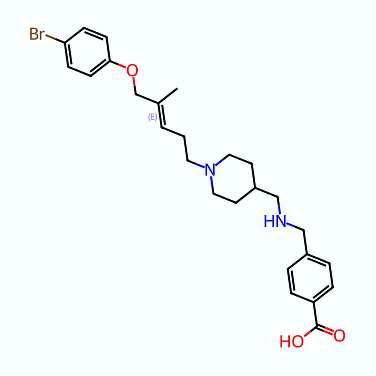 C/C(=C\CCN1CCC(CNCc2ccc(C(=O)O)cc2)CC1)COc1ccc(Br)cc1